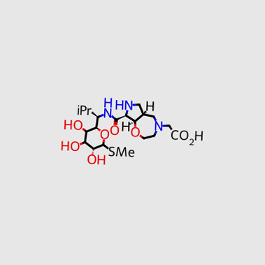 CSC1O[C@H]([C@H](NC(=O)[C@H]2NC[C@@H]3CN(CC(=O)O)CCO[C@H]32)C(C)C)C(O)C(O)[C@H]1O